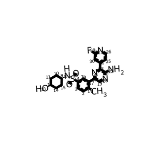 Cc1ccc(S(=O)(=O)N[C@H]2CC[C@H](O)CC2)cc1-c1cnc(N)c(-c2ccnc(F)c2)n1